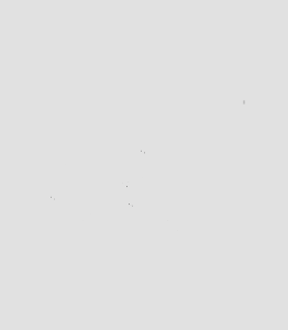 Cc1cc(NS(=O)(=O)c2ccc(C(C)(C)C)cc2)n(-c2ccc(Cl)c3nccc(C)c23)n1